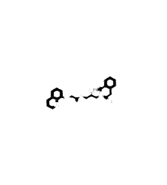 BC1(B)Cc2ccccc2C(B)(B)N1C[C@H](O)CNC(=O)COc1cccc2cccnc12